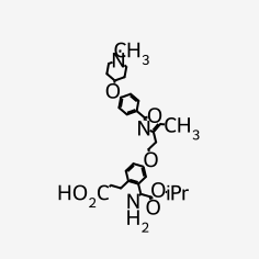 Cc1oc(-c2ccc(OC3CCN(C)CC3)cc2)nc1CCOc1ccc(CCC(=O)O)c(C(N)C(=O)OC(C)C)c1